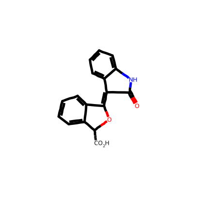 O=C1Nc2ccccc2/C1=C1/OC(C(=O)O)c2ccccc21